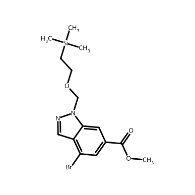 COC(=O)c1cc(Br)c2cnn(COCC[Si](C)(C)C)c2c1